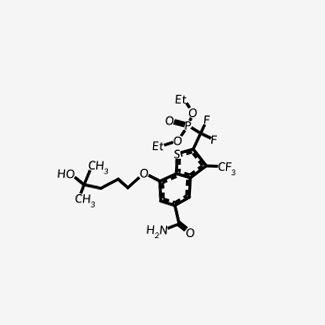 CCOP(=O)(OCC)C(F)(F)c1sc2c(OCCCC(C)(C)O)cc(C(N)=O)cc2c1C(F)(F)F